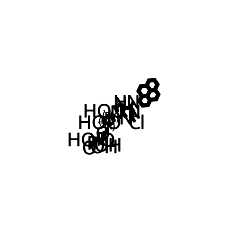 O=P(O)(O)CP(=O)(O)OC[C@H]1O[C@@H](n2cnc3c(Nc4ccc5ccc6cccc7ccc4c5c67)nc(Cl)nc32)[C@@H](O)[C@H]1O